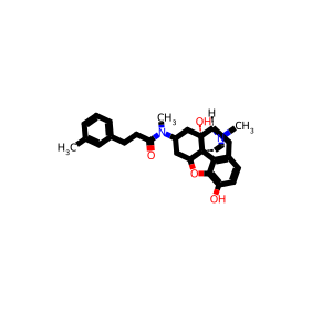 Cc1cccc(CCC(=O)N(C)C2CC3Oc4c(O)ccc5c4[C@@]34CCN(C)[C@H](C5)[C@]4(O)C2)c1